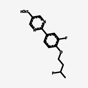 CCCCCCCCc1cnc(-c2ccc(OCCC(C)F)c(F)c2)nc1